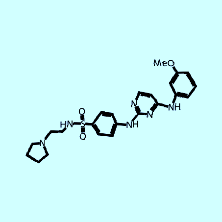 COc1cccc(Nc2ccnc(Nc3ccc(S(=O)(=O)NCCN4CCCC4)cc3)n2)c1